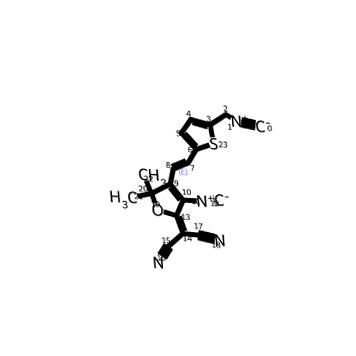 [C-]#[N+]Cc1ccc(/C=C/C2=C([N+]#[C-])C(=C(C#N)C#N)OC2(C)C)s1